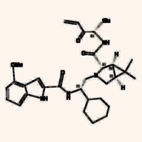 C=CC(=O)[C@@H](NC(=O)[C@@H]1[C@@H]2[C@H](CN1C[C@@H](NC(=O)c1cc3c(OC)cccc3[nH]1)C1CCCCC1)C2(C)C)C(C)(C)C